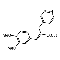 CCOC(=O)/C(=C/c1ccc(OC)c(OC)c1)Cc1ccncc1